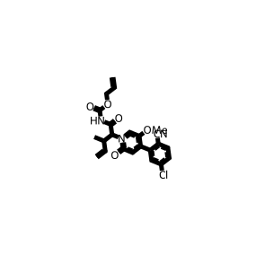 C=CCOC(=O)NC(=O)C(C(C)C=C)n1cc(OC)c(-c2cc(Cl)ccc2C#N)cc1=O